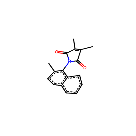 CC1=C(C)C(=O)N(c2c(C)ccc3ccccc23)C1=O